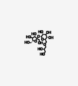 OCC(O)COC[C@H]1O[C@H](O[C@]2(CO)O[C@H](CO)[C@@H](O)[C@@H]2O)[C@H](O)[C@@H](O)[C@@H]1O